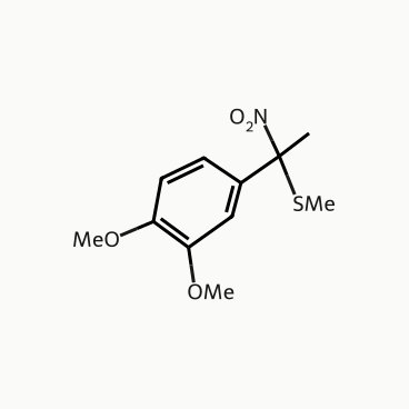 COc1ccc(C(C)(SC)[N+](=O)[O-])cc1OC